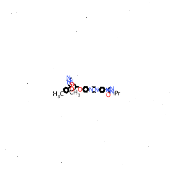 Cc1ccc(C2(Cn3cncn3)OCC(COc3ccc(N4CCN(c5ccc(-n6cnn(C(C)C)c6=O)cc5)CC4)cc3)CO2)c(C)c1